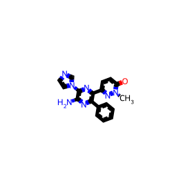 Cn1nc(-c2nc(-n3ccnc3)c(N)nc2-c2ccccc2)ccc1=O